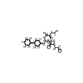 C=C(CCC)[C@H](C)CC(Cc1ccc(-c2ccccc2)cc1)NC(=O)CCC=O